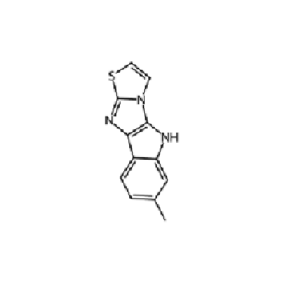 Cc1ccc2c(c1)[nH]c1c2nc2sccn21